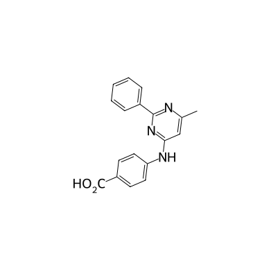 Cc1cc(Nc2ccc(C(=O)O)cc2)nc(-c2ccccc2)n1